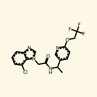 CC(NC(=O)Cn1cnc2cccc(Cl)c21)c1ccc(OCC(F)(F)F)nc1